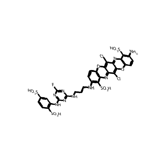 Nc1ccc2c(c1S(=O)(=O)O)N=c1c(Cl)c3c(c(Cl)c1O2)=Nc1c(ccc(NCCCNc2nc(F)nc(Nc4cc(S(=O)(=O)O)ccc4S(=O)(=O)O)n2)c1S(=O)(=O)O)O3